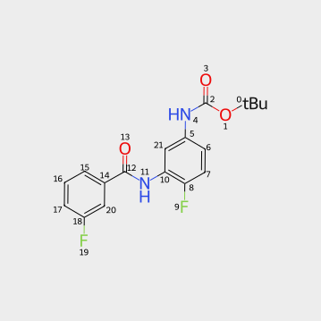 CC(C)(C)OC(=O)Nc1ccc(F)c(NC(=O)c2cccc(F)c2)c1